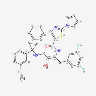 C#Cc1cccc(C2(NC[C@@H](O)[C@H](Cc3cc(F)cc(F)c3)NC(=O)c3sc(-n4cccc4)nc3-c3ccccc3)CC2)c1